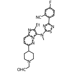 CCc1nc2ccc(C3CCN(CC=O)CC3)nn2c1N(C)c1nc(-c2ccc(F)cc2C#N)ns1